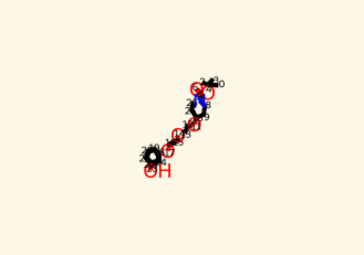 CC(C)(C)OC(=O)N1CCC(OCCOCCOc2cccc(O)c2)CC1